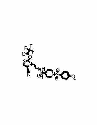 COc1ccc(S(=O)(=O)N2CCC([NH+]([O-])NCCN3C(C#N)CSC3OC(=O)C(F)(F)F)CC2)cc1